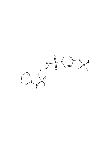 O=S(=O)(NCCN1c2ccccc2NS1(=O)=O)c1ccc(OC(F)(F)F)cc1